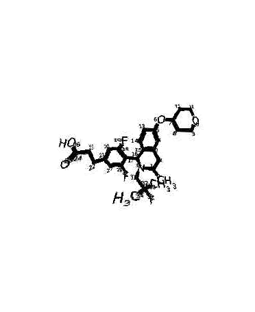 CC1Cc2cc(OC3CCOCC3)ccc2C(c2c(F)cc(CCC(=O)O)cc2F)N1CC(C)(C)F